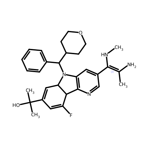 CN/C(=C(/C)N)c1cnc2c(c1)N(C(c1ccccc1)C1CCOCC1)C1C=C(C(C)(C)O)C=C(F)C21